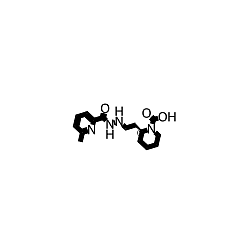 Cc1cccc(C(=O)NNCC[C@@H]2CCCCN2C(=O)O)n1